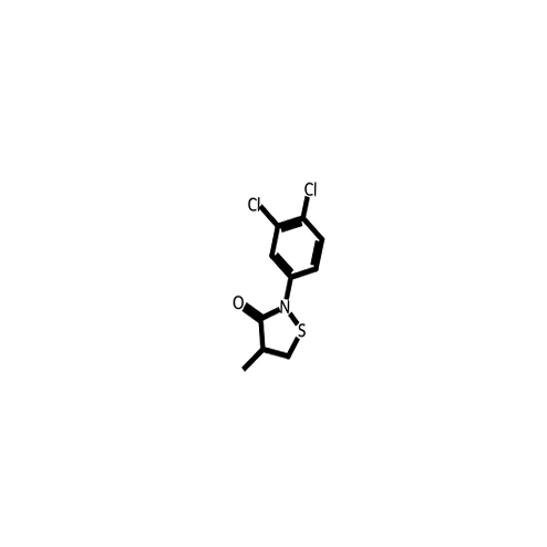 CC1CSN(c2ccc(Cl)c(Cl)c2)C1=O